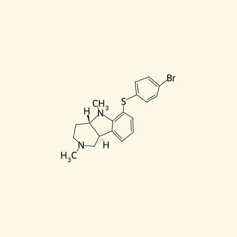 CN1CC[C@H]2[C@H](C1)c1cccc(Sc3ccc(Br)cc3)c1N2C